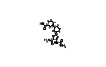 NC(=O)Nc1cn(-c2cccc(-c3cccc(C(=O)O)c3)c2)nc1C(N)=O